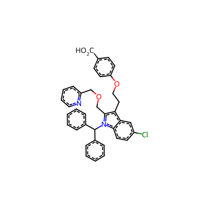 O=C(O)c1ccc(OCCc2c(COCc3ccccn3)n(C(c3ccccc3)c3ccccc3)c3ccc(Cl)cc23)cc1